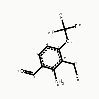 Nc1c(C=O)ccc(OC(F)(F)F)c1CCl